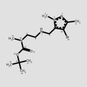 Cc1nn(C)c(CNCCN(C)C(=O)OC(C)(C)C)c1Br